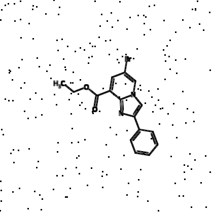 CCOC(=O)c1cc(Br)cn2cc(-c3ccccc3)nc12